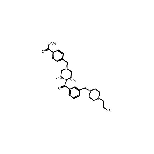 COC(=O)c1ccc(CN2C[C@@H](C)N(C(=O)c3cccc(CN4CCN(CCC(C)C)CC4)c3)[C@@H](C)C2)cc1